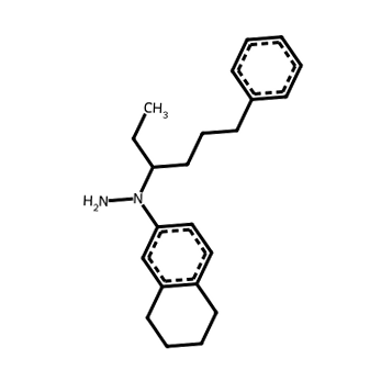 CCC(CCCc1ccccc1)N(N)c1ccc2c(c1)CCCC2